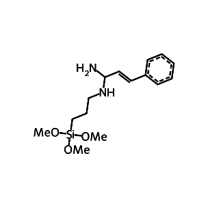 CO[Si](CCCNC(N)C=Cc1ccccc1)(OC)OC